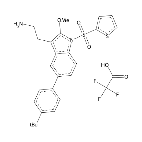 COc1c(CCN)c2cc(-c3ccc(C(C)(C)C)cc3)ccc2n1S(=O)(=O)c1cccs1.O=C(O)C(F)(F)F